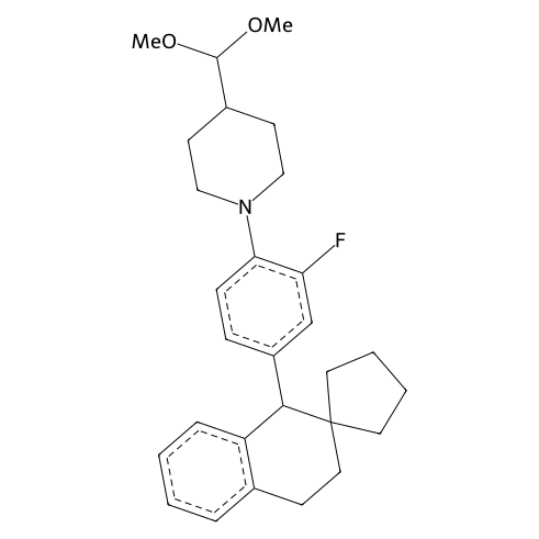 COC(OC)C1CCN(c2ccc(C3c4ccccc4CCC34CCCC4)cc2F)CC1